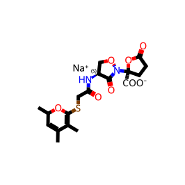 CC1=CC(C)OC(SCC(=O)N[C@H]2CON(C3(C(=O)[O-])CCC(=O)O3)C2=O)=C1C.[Na+]